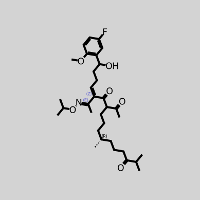 COc1ccc(F)cc1C(O)CC/C=C(C(=O)C(CCC[C@@H](C)CCCC(=O)C(C)C)C(C)=O)/C(C)=N/OC(C)C